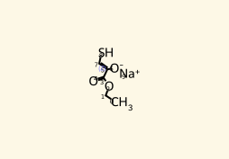 CCOC(=O)/C([O-])=C/S.[Na+]